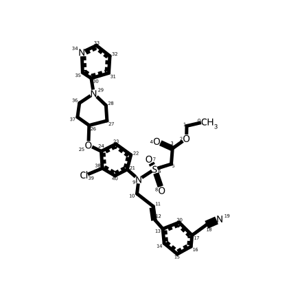 CCOC(=O)CS(=O)(=O)N(C/C=C/c1cccc(C#N)c1)c1ccc(OC2CCN(c3cccnc3)CC2)c(Cl)c1